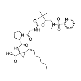 CCCCC/C=C\C1C[C@]1(NC(=O)[C@@H]1CCCN1C(=O)CNC(=O)OC(CN(C)S(=O)(=O)c1ccccn1)C(C)(C)C)C(=O)O